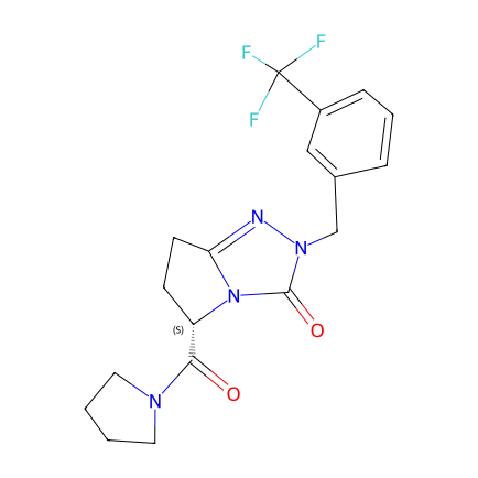 O=C([C@@H]1CCc2nn(Cc3cccc(C(F)(F)F)c3)c(=O)n21)N1CCCC1